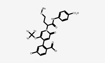 [2H]C([2H])([2H])Oc1cn(C(CCOC(C)(C)C)C(=O)Nc2ccc(C(=O)O)cc2)c(=O)cc1-c1cc(Cl)ccc1C(=O)CC